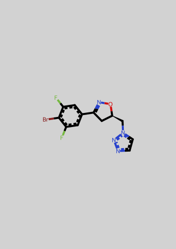 Fc1cc(C2=NO[C@@H](Cn3ccnn3)C2)cc(F)c1Br